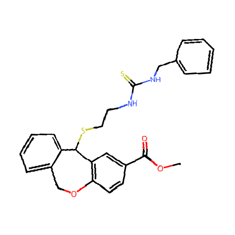 COC(=O)c1ccc2c(c1)C(SCCNC(=S)NCc1ccccc1)c1ccccc1CO2